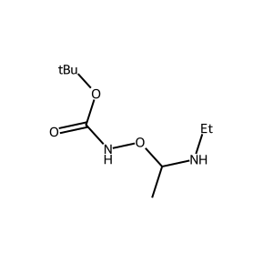 CCNC(C)ONC(=O)OC(C)(C)C